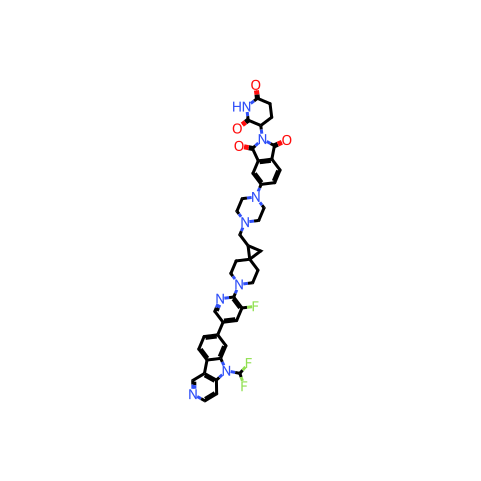 O=C1CCC(N2C(=O)c3ccc(N4CCN(CC5CC56CCN(c5ncc(-c7ccc8c9cnccc9n(C(F)F)c8c7)cc5F)CC6)CC4)cc3C2=O)C(=O)N1